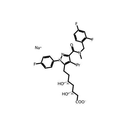 CC(C)c1c(C(=O)N(C)Cc2ccc(F)cc2F)nn(-c2ccc(F)cc2)c1CC[C@@H](O)C[C@@H](O)CC(=O)[O-].[Na+]